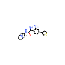 CN1C2CCC1CC(NC(=O)C(=N)c1ccc(-c3ccsc3)cc1N)C2